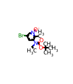 CCN(C(=O)OC(C)(C)C)c1cc(Br)c[n+]([O-])c1C